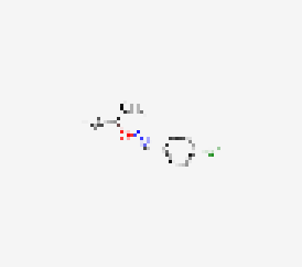 CC(C)O/N=[C]/c1ccc(Br)cc1